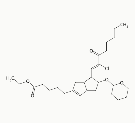 CCCCCC(=O)C(Cl)=CC1C(OC2CCCCO2)CC2C=C(CCCCC(=O)OCC)CC21